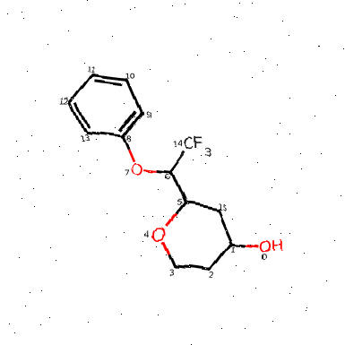 OC1CCOC(C(Oc2ccccc2)C(F)(F)F)C1